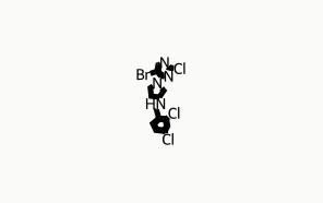 Clc1ccc(CNC2CCN(c3nc(Cl)ncc3Br)C2)c(Cl)c1